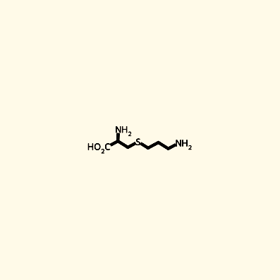 NCCCSCC(N)C(=O)O